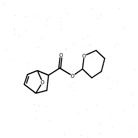 O=C(OC1CCCCO1)C1CC2C=CC1O2